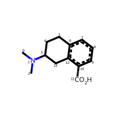 CN(C)C1CCc2cccc(C(=O)O)c2C1